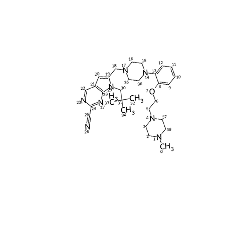 CN1CCN(CCOc2ccccc2N2CCN(Cc3cc4cnc(C#N)nc4n3CC(C)(C)C)CC2)CC1